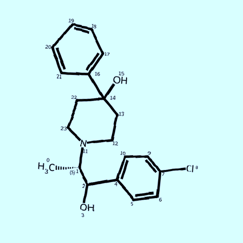 C[C@@H](C(O)c1ccc(Cl)cc1)N1CCC(O)(c2ccccc2)CC1